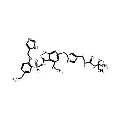 CCc1ccc(OCc2cnn[nH]2)c(S(=O)(=O)Nc2noc3cc(Cn4cc(CNC(=O)OC(C)(C)C)cn4)cc(OC)c23)c1